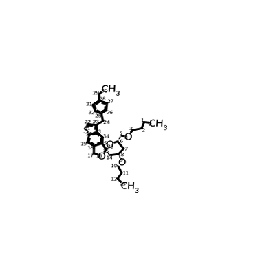 CCCCOC[C@@H]1C[C@H](OCCCC)C[C@@]2(OCc3cc4scc(Cc5ccc(CC)cc5)c4cc32)O1